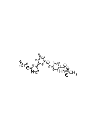 CS(=O)(=O)NC(=O)c1ccc(COc2cc(F)cc(-c3cc(OCC4CC4)ncn3)c2)cc1